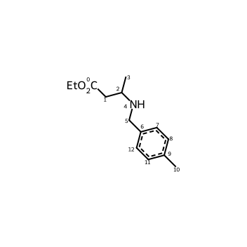 CCOC(=O)CC(C)NCc1ccc(C)cc1